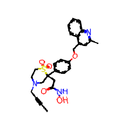 CC#CCN1CCS(=O)(=O)C(CC(=O)NO)(c2ccc(OCc3cc(C)nc4ccccc34)cc2)C1